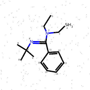 CCN(C[SiH3])/C(=N/C(C)(C)C)c1ccccc1